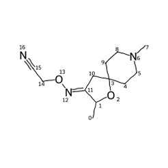 CC1OC2(CCN(C)CC2)CC1=NOCC#N